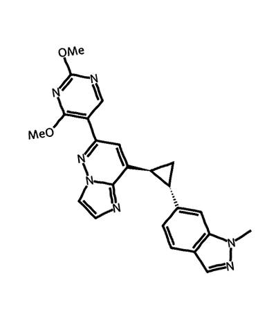 COc1ncc(-c2cc([C@H]3C[C@@H]3c3ccc4cnn(C)c4c3)c3nccn3n2)c(OC)n1